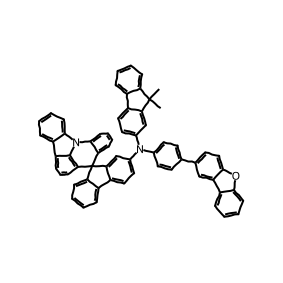 CC1(C)c2ccccc2-c2ccc(N(c3ccc(-c4ccc5oc6ccccc6c5c4)cc3)c3ccc4c(c3)C3(c5ccccc5-4)c4ccccc4-n4c5ccccc5c5cccc3c54)cc21